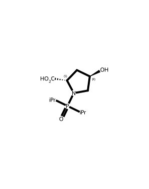 CC(C)P(=O)(C(C)C)N1C[C@H](O)C[C@H]1C(=O)O